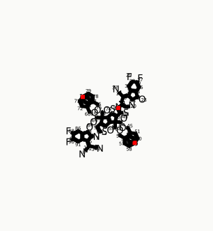 N#CC(C#N)=C1/C(=N/c2cc3c(s2)C2=C(c4sc5cc(/N=C6/C(=O)c7cc(F)c(F)cc7C6=C(C#N)C#N)sc5c4C2(C(=O)OCc2ccccc2)C(=O)OCc2ccccc2)C3(C(=O)OCc2ccccc2)C(=O)OCc2ccccc2)C(=O)c2cc(F)c(F)cc21